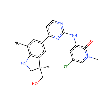 Cn1cc(Cl)cc(Nc2nccc(-c3cc(C#N)c4c(c3)[C@@](C)(CO)CN4)n2)c1=O